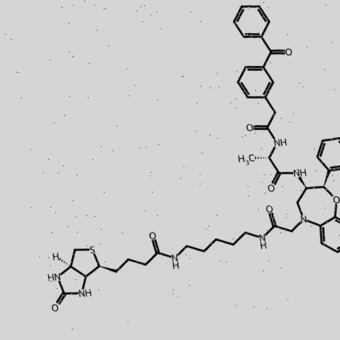 C[C@H](NC(=O)Cc1cccc(C(=O)c2ccccc2)c1)C(=O)N[C@@H]1CN(CC(=O)NCCCCCNC(=O)CCC[C@@H]2SC[C@@H]3NC(=O)NC32)c2ccccc2O[C@@H]1c1ccccc1